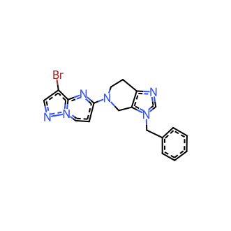 Brc1cnn2ccc(N3CCc4ncn(Cc5ccccc5)c4C3)nc12